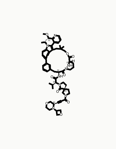 CCn1c(-c2cccnc2[C@H](C)OC)c2c3cc(ccc31)-c1cccc(c1)C[C@H](NC(=O)[C@H](C(C)C)N1CC[C@]3(CCN(C(=O)C#C[C@@H]4COCCN4C4COC4)C3)C1=O)C(=O)N1CCC[C@H](N1)C(=O)OCC(C)(C)C2